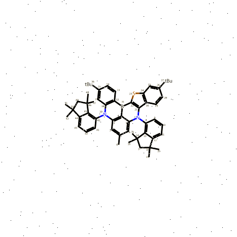 Cc1cc2c3c(c1)N(c1cccc4c1C(C)(C)CC4(C)C)c1c(sc4cc(C(C)(C)C)ccc14)B3c1ccc(C(C)(C)C)cc1N2c1cccc2c1C(C)(C)CC2(C)C